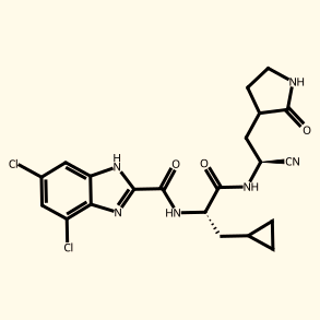 N#C[C@H](CC1CCNC1=O)NC(=O)[C@H](CC1CC1)NC(=O)c1nc2c(Cl)cc(Cl)cc2[nH]1